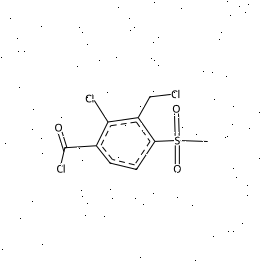 CS(=O)(=O)c1ccc(C(=O)Cl)c(Cl)c1CCl